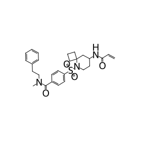 C=CC(=O)NC1CCN(S(=O)(=O)c2ccc(C(=O)N(C)CCc3ccccc3)cc2)C2(CCC2)C1